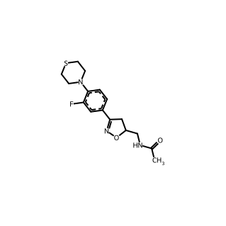 CC(=O)NCC1CC(c2ccc(N3CCSCC3)c(F)c2)=NO1